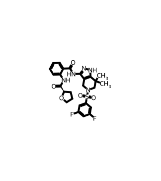 CC1(C)CN(S(=O)(=O)c2cc(F)cc(F)c2)Cc2c(NC(=O)c3ccccc3NC(=O)[C@H]3CCCO3)n[nH]c21